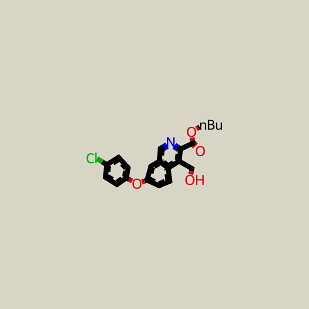 CCCCOC(=O)c1ncc2cc(Oc3ccc(Cl)cc3)ccc2c1CO